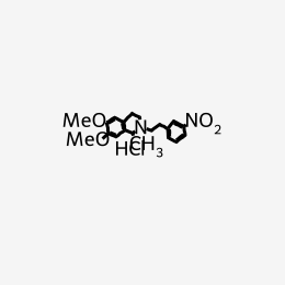 COc1cc2c(cc1OC)C(C)N(CCc1cccc([N+](=O)[O-])c1)CC2.Cl